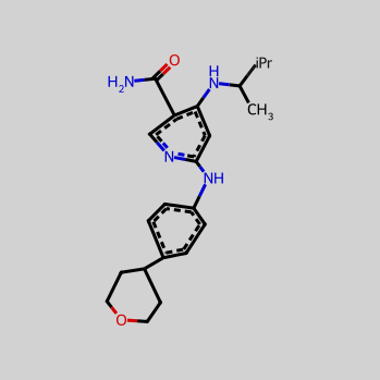 CC(C)C(C)Nc1cc(Nc2ccc(C3CCOCC3)cc2)ncc1C(N)=O